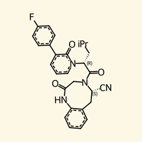 CC(C)C[C@H](C(=O)N1CC(=O)Nc2ccccc2C[C@H]1C#N)n1cccc(-c2ccc(F)cc2)c1=O